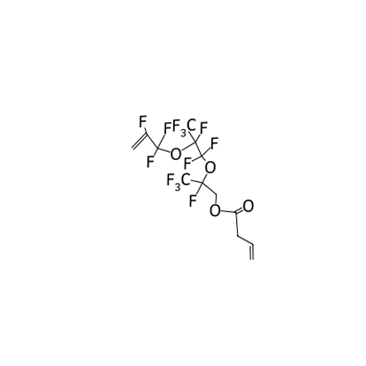 C=CCC(=O)OCC(F)(OC(F)(F)C(F)(OC(F)(F)C(=C)F)C(F)(F)F)C(F)(F)F